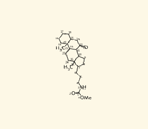 COC(=O)NCCCC1CCC2C3C(=O)CC4CCCCC4(C)C3CCC12C